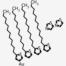 CCCCCCCCCCCCc1cccs1.CCCCCCCCCCCCc1cccs1.CCCCCCCCCCCCc1cccs1.CCCCCCCCCCCCc1cccs1.[Au].c1cscn1.c1cscn1